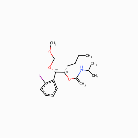 C=C(NC(C)C)O[C@@H](CCCC)[C@@H](OCOC)c1ccccc1I